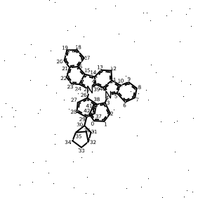 c1ccc(-n2c3ccccc3c3ccc4c5c6ccccc6ccc5n(-c5ccc(C6CC7CCC6C7)cc5)c4c32)cc1